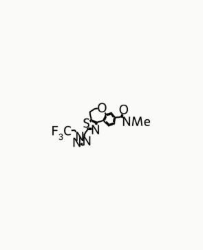 CNC(=O)c1ccc2c(c1)OCCc1sc(-c3ncnn3CC(F)(F)F)nc1-2